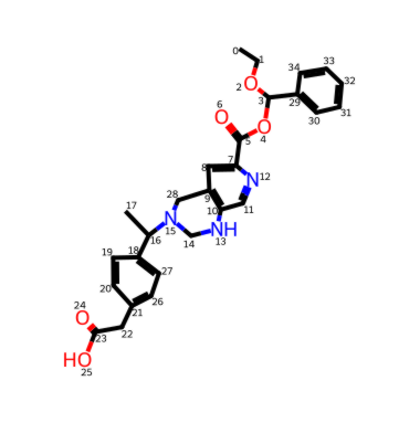 CCOC(OC(=O)c1cc2c(cn1)NCN(C(C)c1ccc(CC(=O)O)cc1)C2)c1ccccc1